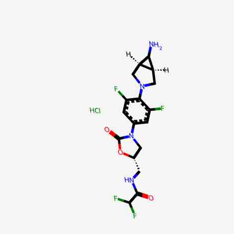 Cl.NC1[C@H]2CN(c3c(F)cc(N4C[C@H](CNC(=O)C(F)F)OC4=O)cc3F)C[C@@H]12